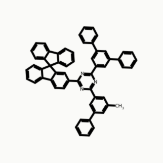 Cc1cc(-c2ccccc2)cc(-c2nc(-c3cc(-c4ccccc4)cc(-c4ccccc4)c3)nc(-c3ccc4c(c3)C3(c5ccccc5-c5ccccc53)c3ccccc3-4)n2)c1